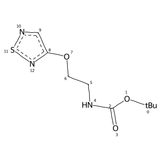 CC(C)(C)OC(=O)NCCOc1cnsn1